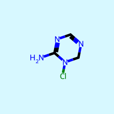 NC1=NC=NCN1Cl